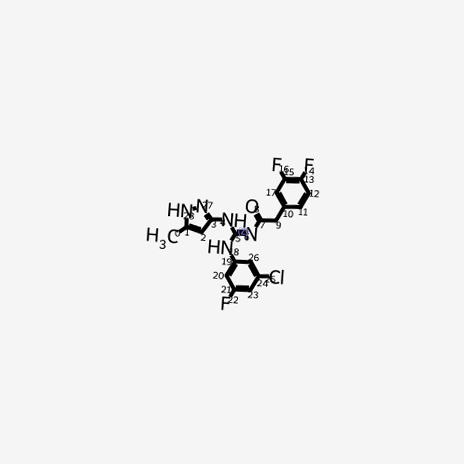 Cc1cc(N/C(=N\C(=O)Cc2ccc(F)c(F)c2)Nc2cc(F)cc(Cl)c2)n[nH]1